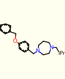 CC(C)CN1CCCN(Cc2ccc(OCc3ccccc3)cc2)CC1